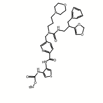 CC(C)(C)OC(=O)Nc1cscc1NC(=O)c1ccc(CN(CCCN2CCOCC2)C(=O)NCC(Cc2ccccc2)C2=COCO2)cn1